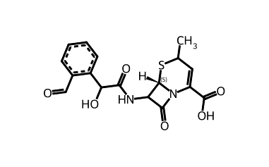 CC1C=C(C(=O)O)N2C(=O)C(NC(=O)C(O)c3ccccc3C=O)[C@@H]2S1